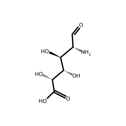 N[C@@H](C=O)[C@H](O)[C@H](O)[C@@H](O)C(=O)O